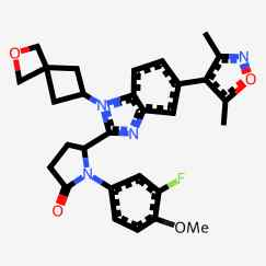 COc1ccc(N2C(=O)CCC2c2nc3cc(-c4c(C)noc4C)ccc3n2C2CC3(COC3)C2)cc1F